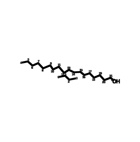 CCCC.CCCCCCCCCCCCCCCCCCO